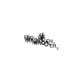 CCC1CCc2cc(N=Nc3nnc(C(=O)OC(F)(F)C(F)(F)F)s3)c(NS(=O)(=O)C(F)(F)F)cc2N1C